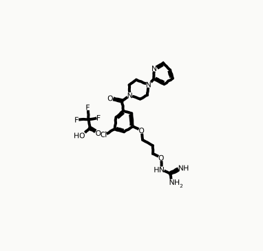 N=C(N)NOCCCOc1cc(Cl)cc(C(=O)N2CCN(c3ccccn3)CC2)c1.O=C(O)C(F)(F)F